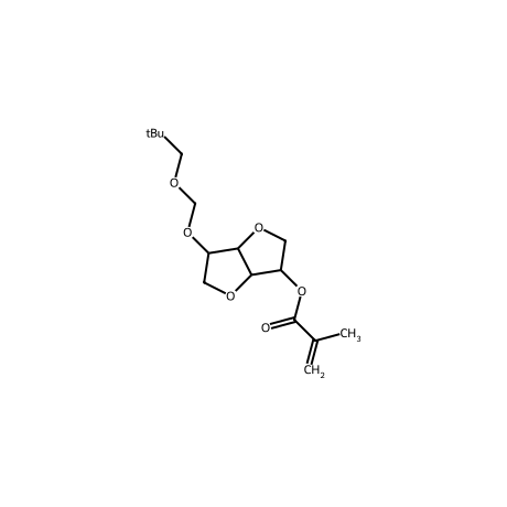 C=C(C)C(=O)OC1COC2C(OCOCC(C)(C)C)COC12